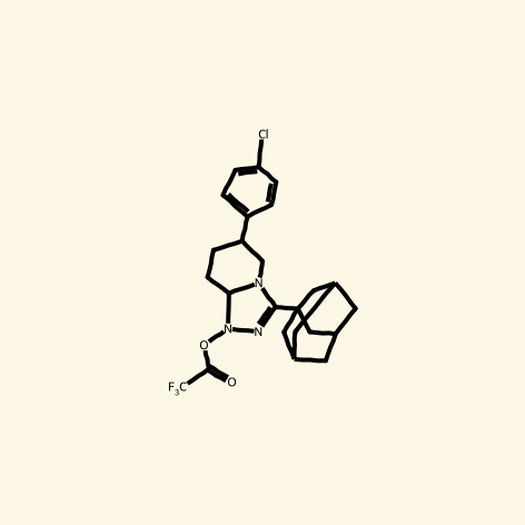 O=C(ON1N=C(C23CC4CC(CC(C4)C2)C3)N2CC(c3ccc(Cl)cc3)CCC12)C(F)(F)F